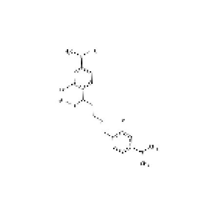 CCCOC(C=CC=Cc1ccc(N(C)C)cc1Br)c1ccc(N(C)C)cc1Br